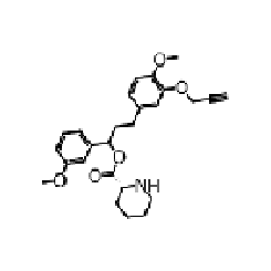 C#CCOc1cc(CCC(OC(=O)[C@H]2CCCCN2)c2cccc(OC)c2)ccc1OC